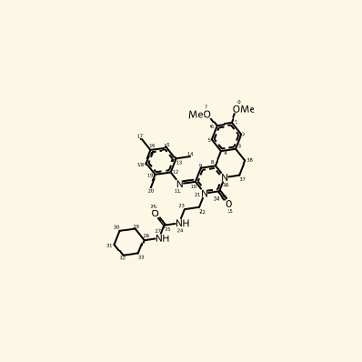 COc1cc2c(cc1OC)-c1c/c(=N\c3c(C)cc(C)cc3C)n(CCNC(=O)NC3CCCCC3)c(=O)n1CC2